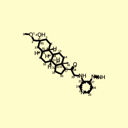 COC[C@@]1(O)CC[C@H]2[C@@H](CC[C@@H]3[C@@H]2CC[C@]2(C)[C@@H](C(=O)CNc4cnccc4N=N)CC[C@@H]32)C1